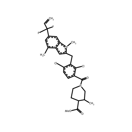 C=CC(F)(F)c1cc(C)c2cc(Cc3c(Cl)ccc(C(=O)N4CCC(C(=O)OC)C(C)C4)c3Cl)n(C)c2c1